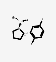 CC(C)(C)[S@+]([O-])N1CCC[C@H]1c1cc(F)ccc1F